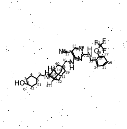 C[C@]1(O)CC[C@@H](CN[C@@H]2[C@@H]3CC4C[C@H]2C[C@@](CNc2nc(NCc5ccccc5OC(F)(F)F)ncc2C#N)(C4)C3)CC1